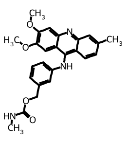 CNC(=O)OCc1cccc(Nc2c3ccc(C)cc3nc3cc(OC)c(OC)cc23)c1